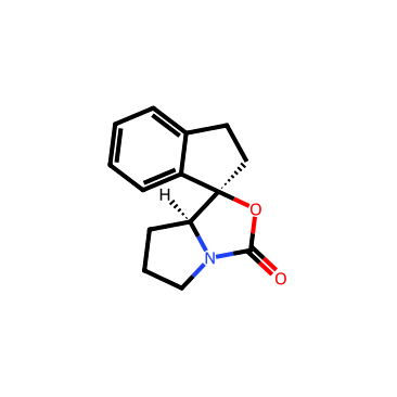 O=C1O[C@@]2(CCc3ccccc32)[C@@H]2CCCN12